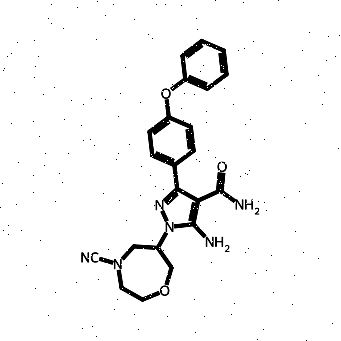 N#CN1CCOCC(n2nc(-c3ccc(Oc4ccccc4)cc3)c(C(N)=O)c2N)C1